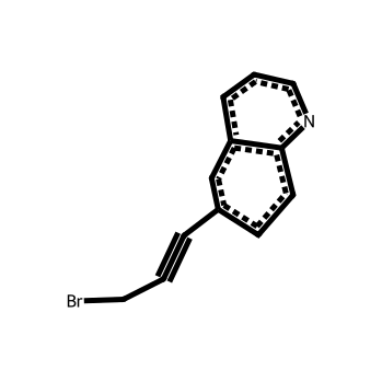 BrCC#Cc1ccc2ncccc2c1